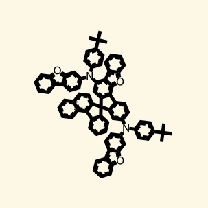 CC(C)(C)c1ccc(N(c2ccc3c(c2)C2(c4ccccc4-c4c2ccc2ccccc42)c2cc(N(c4ccc(C(C)(C)C)cc4)c4ccc5c(c4)oc4ccccc45)c4c(oc5ccccc54)c2-3)c2ccc3c(c2)oc2ccccc23)cc1